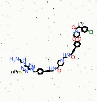 CCCSc1nc(NCCN)c2nnn(Cc3ccc(C#CCNC(=O)C4CCN(CCNC(=O)C#Cc5ccc6c(c5)OC5(CCN(C(=O)[C@H](c7ccc(Cl)cc7)C(C)C)CC5)O6)CC4)cc3)c2n1